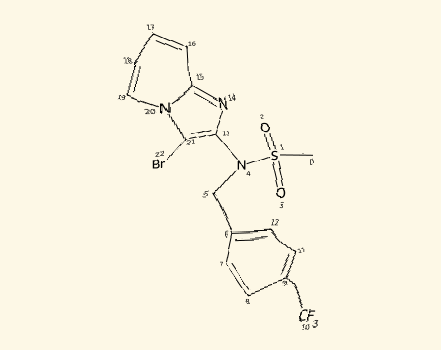 CS(=O)(=O)N(Cc1ccc(C(F)(F)F)cc1)c1nc2ccccn2c1Br